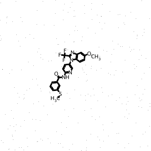 COc1ccc2c(c1)nc(C(F)(F)F)n2-c1ccc(NC(=O)c2cccc(SC)c2)nc1